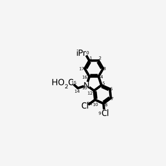 CC(C)c1ccc2c3ccc(Cl)c(Cl)c3n(CC(=O)O)c2c1